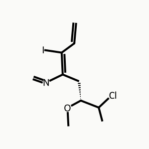 C=C/C(I)=C(\C[C@@H](OC)C(C)Cl)N=C